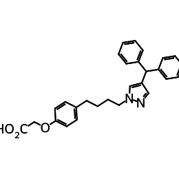 O=C(O)COc1ccc(CCCCn2cc(C(c3ccccc3)c3ccccc3)cn2)cc1